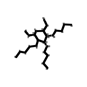 CCCCOC1[C@@H](OC)OC(CF)[C@H](OCCCC)[C@@H]1OCCCC